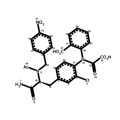 CCc1cc(C[C@@H](C(N)=O)N(Cc2ccc([N+](=O)[O-])cc2)C(C)=O)ccc1N(C(=O)C(=O)O)c1ccccc1C(=O)O